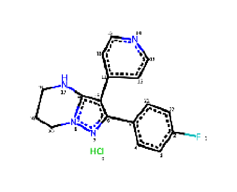 Cl.Fc1ccc(-c2nn3c(c2-c2ccncc2)NCCC3)cc1